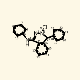 ClN1N=C(Nc2ccccc2)c2ccccc2C1c1ccccc1